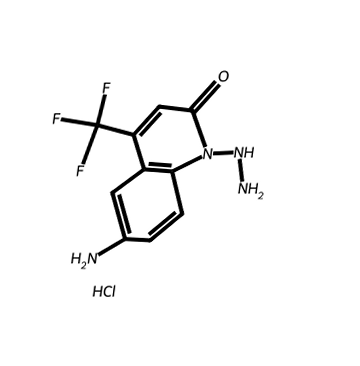 Cl.NNn1c(=O)cc(C(F)(F)F)c2cc(N)ccc21